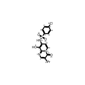 CC(C)c1cnc2c(O)c(NS(=O)(=O)c3ccc(Cl)cc3)ccn2c1=O